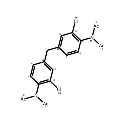 CC(=O)N(C(C)=O)c1ccc(Cc2ccc(N(C(C)=O)C(C)=O)c(Cl)c2)cc1Cl